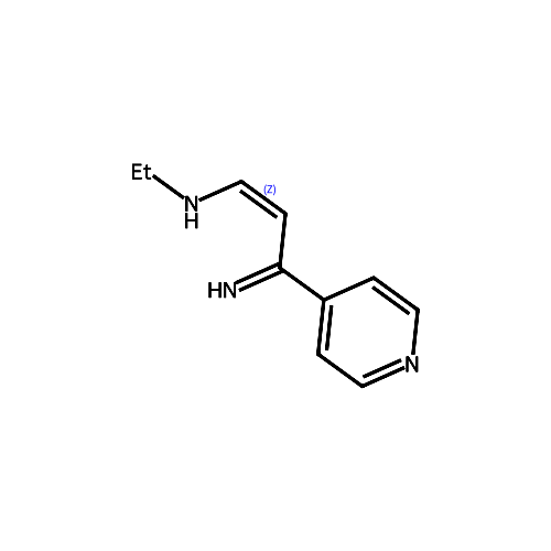 CCN/C=C\C(=N)c1ccncc1